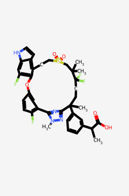 CC(C(=O)O)c1cccc(C2(C)CCC(F)(F)C(C)(C)CS(=O)(=O)CCc3c(c(F)cc4[nH]ccc34)Oc3ccc(F)c(c3)-c3nc2nn3C)c1